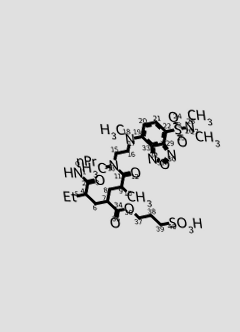 CCCNC(=O)C(CC)CC(CC(C)C(=O)N(C)CCN(C)c1ccc(S(=O)(=O)N(C)C)c2nonc12)C(=O)OCCCS(=O)(=O)O